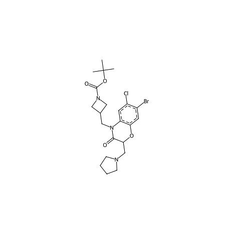 CC(C)(C)OC(=O)N1CC(CN2C(=O)C(CN3CCCC3)Oc3cc(Br)c(Cl)cc32)C1